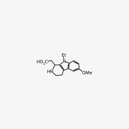 CCn1c2c(c3cc(OC)ccc31)CCNC2CC(=O)O